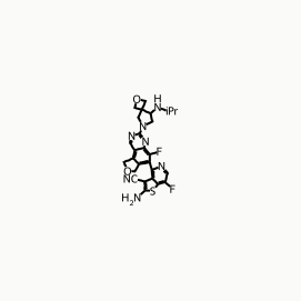 CC(C)NC1CN(c2ncc3c4c(c(-c5ncc(F)c6sc(N)c(C#N)c56)c(F)c3n2)COC4)CC12COC2